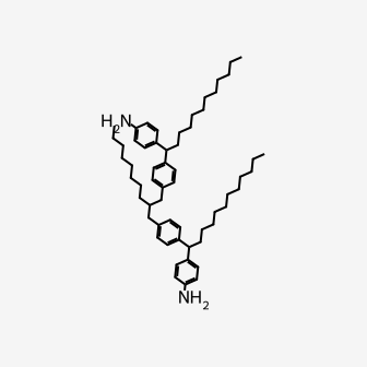 CCCCCCCCCCCC(c1ccc(N)cc1)c1ccc(CC(CCCCCCCC)Cc2ccc(C(CCCCCCCCCCC)c3ccc(N)cc3)cc2)cc1